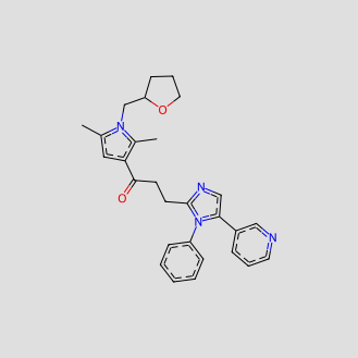 Cc1cc(C(=O)CCc2ncc(-c3cccnc3)n2-c2ccccc2)c(C)n1CC1CCCO1